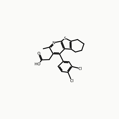 Cc1nc2sc3c(c2c(-c2ccc(Cl)c(Cl)c2)c1CC(=O)O)CCCC3